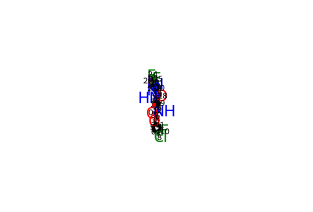 O=C(COc1ccc(Cl)c(F)c1)NC12CC(NC(=O)c3cnc(C(F)(F)I)cn3)(C1)C2